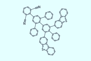 N#Cc1cccc(C#N)c1-c1cc(-c2ccccc2)c(-c2cc(-c3ccc4sc5ccccc5c4c3)c(-c3ccccc3)c(-c3ccc4sc5ccccc5c4c3)c2)c(-c2ccccc2)c1